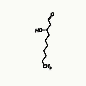 CCCCCCCC(O)CC=O